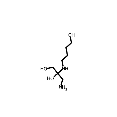 NCC(O)(CO)NCCCCO